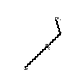 CCCCCCCC/C=C\CCCCCCCCNC(=O)CCCCCCCCCCCCCCCCCO